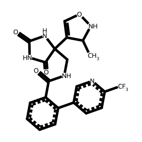 CC1NOC=C1C1(CNC(=O)c2ccccc2-c2ccc(C(F)(F)F)nc2)NC(=O)NC1=O